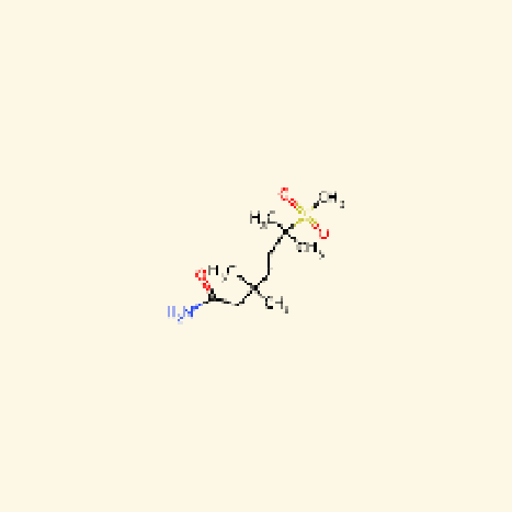 CC(C)(CCC(C)(C)S(C)(=O)=O)CC(N)=O